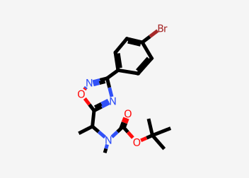 CC(c1nc(-c2ccc(Br)cc2)no1)N(C)C(=O)OC(C)(C)C